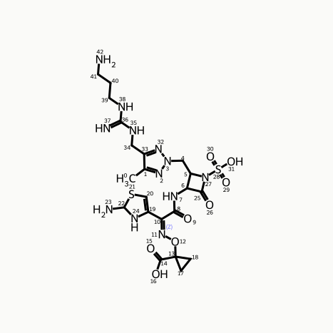 Cc1nn(CC2C(NC(=O)/C(=N\OC3(C(=O)O)CC3)C3=CSC(N)N3)C(=O)N2S(=O)(=O)O)nc1CNC(=N)NCCCN